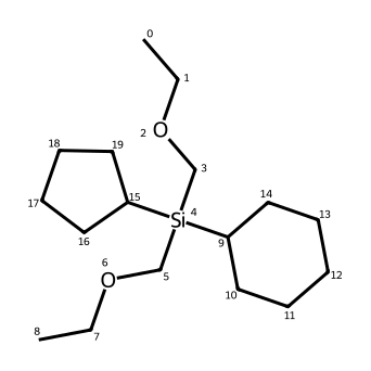 CCOC[Si](COCC)(C1CCCCC1)C1CCCC1